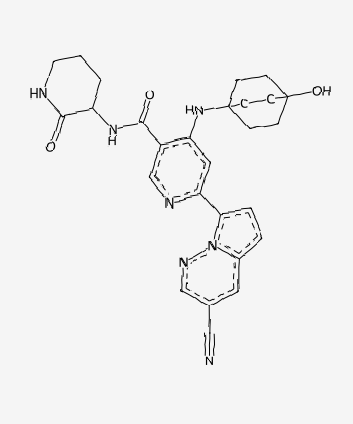 N#Cc1cnn2c(-c3cc(NC45CCC(O)(CC4)CC5)c(C(=O)NC4CCCNC4=O)cn3)ccc2c1